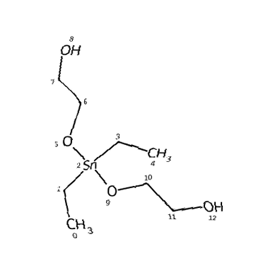 C[CH2][Sn]([CH2]C)([O]CCO)[O]CCO